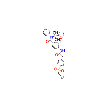 CC(C)(C1CCCO1)N(C(=O)c1ccc(NC(=O)Cc2ccc(S(=O)(=O)CC3CC3)cc2)cc1)c1ccccc1